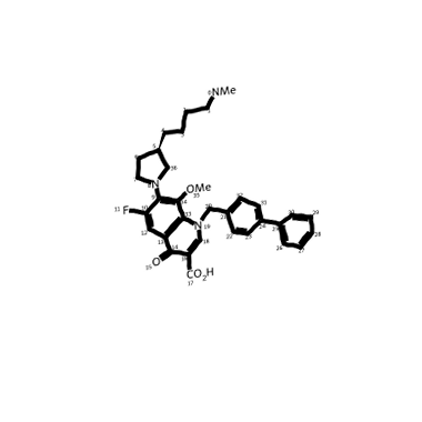 CNCCCC[C@@H]1CCN(c2c(F)cc3c(=O)c(C(=O)O)cn(Cc4ccc(-c5ccccc5)cc4)c3c2OC)C1